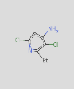 CCc1nc(Cl)cc(N)c1Cl